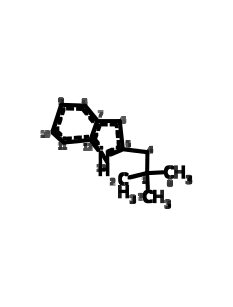 CC(C)(C)Cc1cc2ccccc2[nH]1